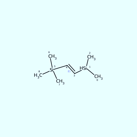 C[SiH](C)/C=C/[Si](C)(C)C